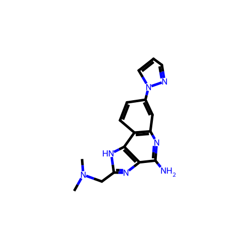 CN(C)Cc1nc2c(N)nc3cc(-n4cccn4)ccc3c2[nH]1